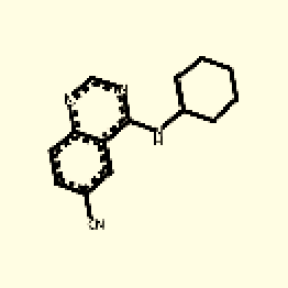 N#Cc1ccc2ncnc(NC3CCCCC3)c2c1